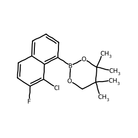 CC1(C)COB(c2cccc3ccc(F)c(Cl)c23)OC1(C)C